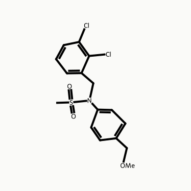 COCc1ccc(N(Cc2cccc(Cl)c2Cl)S(C)(=O)=O)cc1